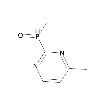 Cc1ccnc([PH](C)=O)n1